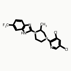 CC1CN(c2ncc(Cl)cc2Cl)CCN1c1nc2ccc(C(F)(F)F)cc2[nH]1